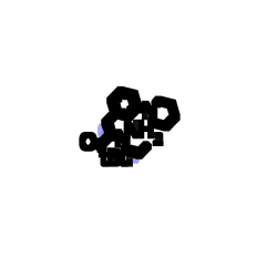 C/C=C\N(N)/C(=C\c1cccc(N2CCCCC2)c1)C(=O)C(C)(C)C